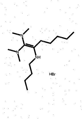 Br.CCCCCC(NCCCC)=C(N(C)C)N(C)C